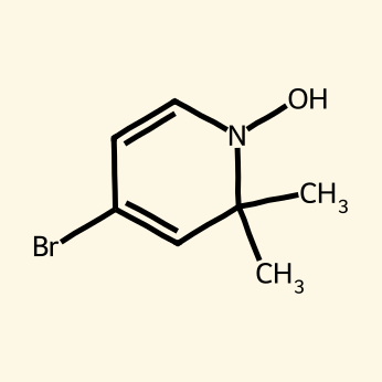 CC1(C)C=C(Br)C=CN1O